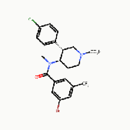 CN(C(=O)c1cc(Br)cc(C(F)(F)F)c1)[C@@H]1CCN(C(=O)O)C[C@H]1c1ccc(Cl)cc1